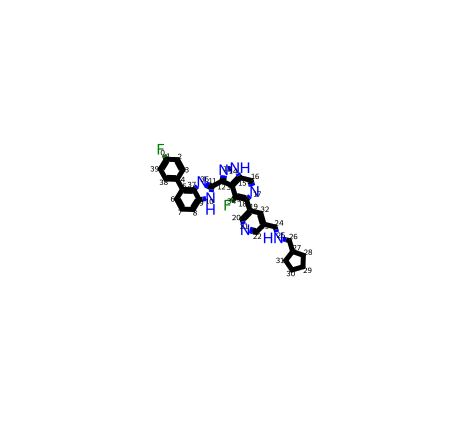 Fc1ccc(-c2cccc3[nH]c(-c4n[nH]c5cnc(-c6cncc(CNCC7CCCC7)c6)c(F)c45)nc23)cc1